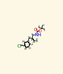 CC(C)(C)OC(=O)NCC(=CF)Cc1cccc(Cl)c1